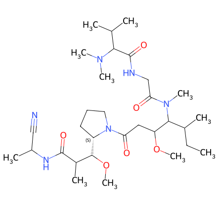 CCC(C)C(C(CC(=O)N1CCC[C@H]1C(OC)C(C)C(=O)NC(C)C#N)OC)N(C)C(=O)CNC(=O)C(C(C)C)N(C)C